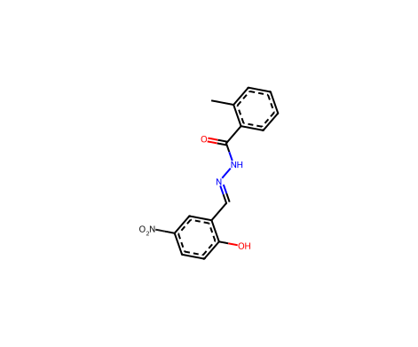 Cc1ccccc1C(=O)NN=Cc1cc([N+](=O)[O-])ccc1O